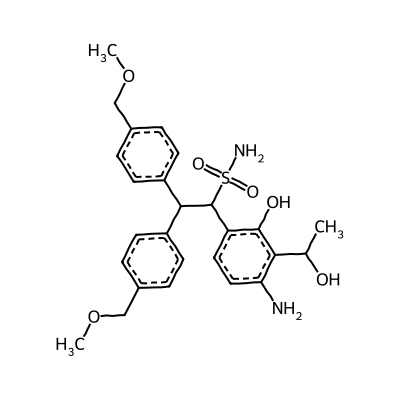 COCc1ccc(C(c2ccc(COC)cc2)C(c2ccc(N)c(C(C)O)c2O)S(N)(=O)=O)cc1